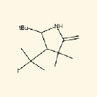 C=C1NC(C(C)(C)C)C(C(C)(C)I)C1(C)C